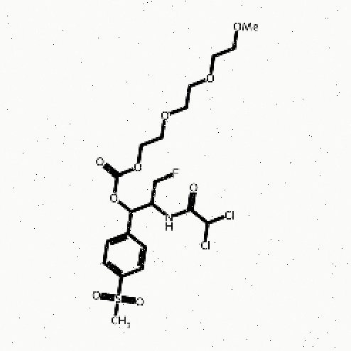 COCCOCCOCCOC(=O)OC(c1ccc(S(C)(=O)=O)cc1)C(CF)NC(=O)C(Cl)Cl